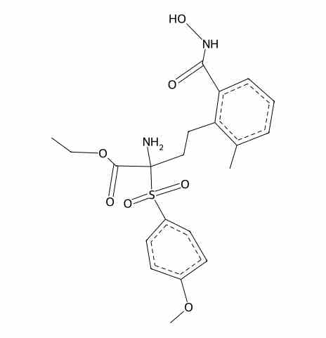 CCOC(=O)C(N)(CCc1c(C)cccc1C(=O)NO)S(=O)(=O)c1ccc(OC)cc1